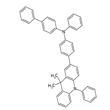 CC1(C)c2ccccc2N(c2ccccc2)c2ccc(-c3ccc(N(c4ccccc4)c4ccc(-c5ccccc5)cc4)cc3)cc21